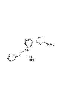 CNC1CCN(c2cnnc(NCCc3ccccc3)c2)C1.Cl.Cl